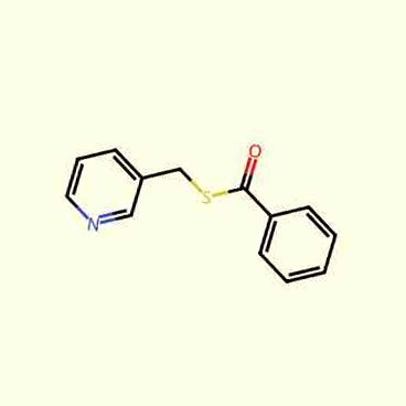 O=C(SCc1cccnc1)c1ccccc1